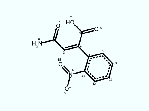 NC(=O)C=C(C(=O)O)c1ccccc1[N+](=O)[O-]